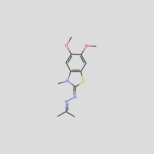 COc1cc2sc(=NN=C(C)C)n(C)c2cc1OC